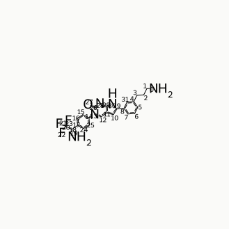 NCCCc1cccc(-c2cc3cn(-c4ccc(C(N)C(F)(F)F)cc4)c(=O)nc3[nH]2)c1